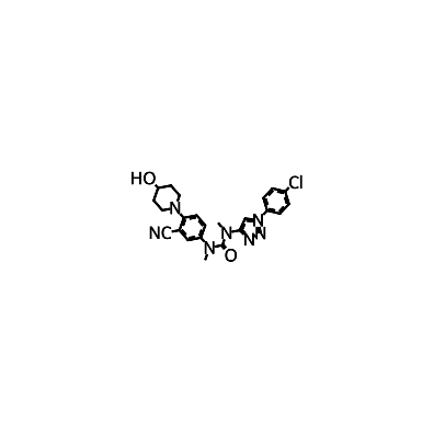 CN(C(=O)N(C)c1cn(-c2ccc(Cl)cc2)nn1)c1ccc(N2CCC(O)CC2)c(C#N)c1